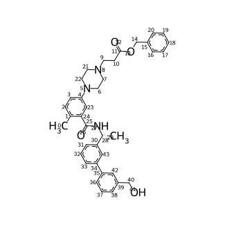 Cc1ccc(N2CCN(CCC(=O)OCc3ccccc3)CC2)cc1C(=O)N[C@H](C)c1cccc(-c2cccc(CO)c2)c1